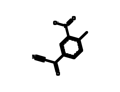 Cc1ccc(C(=O)C#N)cc1[N+](=O)[O-]